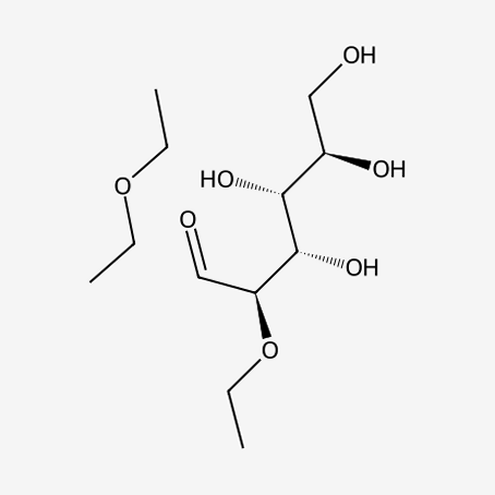 CCOCC.CCO[C@@H](C=O)[C@@H](O)[C@H](O)[C@H](O)CO